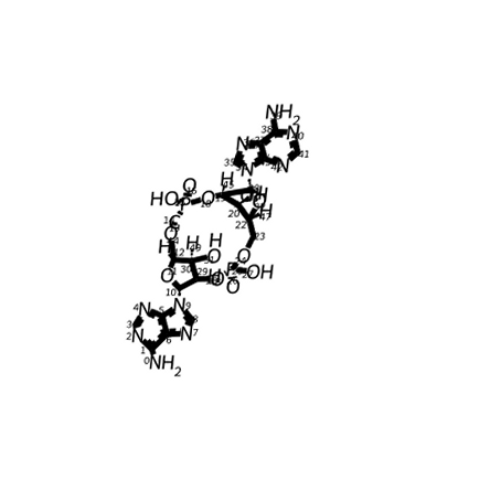 Nc1ncnc2c1ncn2[C@@H]1O[C@@H]2OCP(=O)(O)O[C@@H]3[C@H](O)[C@@H](COP(=O)(O)O[C@@H]1[C@@H]2O)O[C@H]3n1cnc2c(N)ncnc21